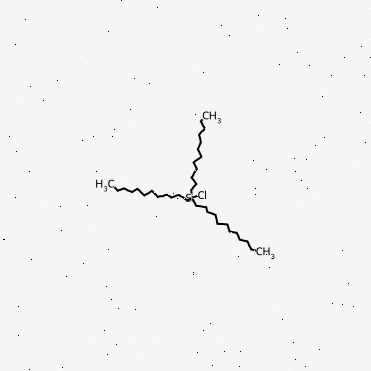 CCCCCCCCCCCC[Si](Cl)(CCCCCCCCCCCC)CCCCCCCCCCCC